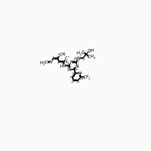 C=N/C=C(C#N)\C=C(/C)Nc1nc(NCC(C)(C)O)nc(-c2cccc(C(F)(F)F)n2)n1